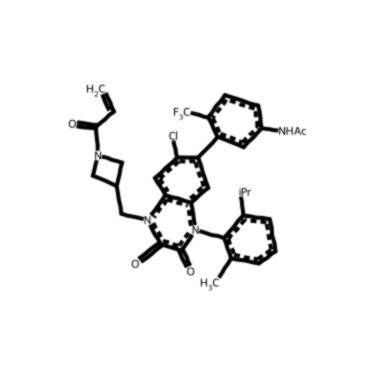 C=CC(=O)N1CC(Cn2c(=O)c(=O)n(-c3c(C)cccc3C(C)C)c3cc(-c4cc(NC(C)=O)ccc4C(F)(F)F)c(Cl)cc32)C1